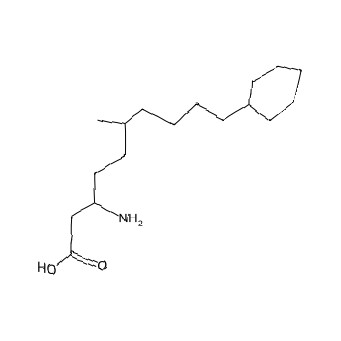 CC(CCCCC1CCCCC1)CCC(N)CC(=O)O